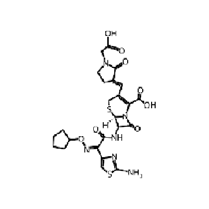 Nc1nc(/C(=N/OC2CCCC2)C(=O)N[C@@H]2C(=O)N3C(C(=O)O)=C(/C=C4\CCN(CC(=O)O)C4=O)CS[C@H]23)cs1